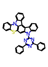 c1ccc(-c2nc(-c3ccccc3)nc(-n3c4ccccc4c4c5c6ccccc6n6c5c(cc43)Sc3ccccc3-6)n2)cc1